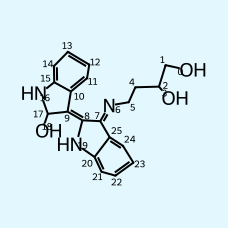 OCC(O)CC/N=C1/C(=C2\c3ccccc3NC2O)Nc2ccccc21